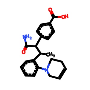 CC(c1ccccc1N1CC=CCC1)C(C(N)=O)c1ccc(C(=O)O)cc1